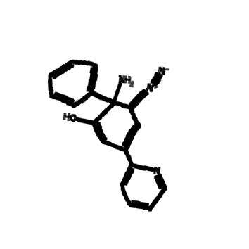 [N-]=[N+]=C1C=C(c2ccccn2)C=C(O)C1(N)c1ccccc1